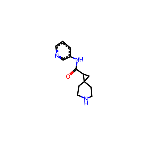 O=C(Nc1cccnc1)C1CC12CCNCC2